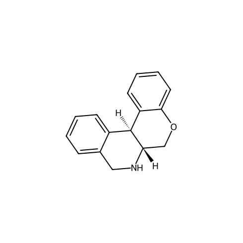 c1ccc2c(c1)CN[C@H]1COc3ccccc3[C@H]21